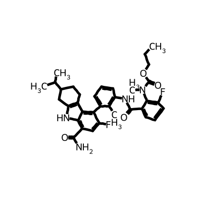 CCCOC(=O)N(C)c1c(F)cccc1C(=O)Nc1cccc(-c2c(F)cc(C(N)=O)c3[nH]c4c(c23)CCC(C(C)C)C4)c1C